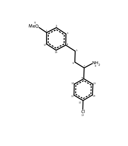 COc1ccc(CCC(N)c2ccc(Cl)cc2)cc1